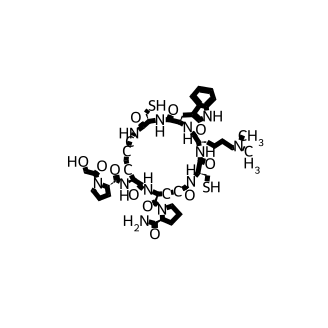 CN(C)CCCC[C@@H]1NC(=O)[C@H](CS)NC(=O)CC[C@@H](C(=O)N2CCC[C@H]2C(N)=O)NC(=O)[C@@H](NC(=O)[C@@H]2CCCN2C(=O)CO)CCCCNC(=O)[C@H](CS)NC(=O)[C@H](Cc2c[nH]c3ccccc23)NC1=O